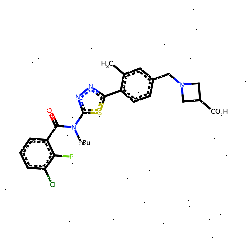 CCCCN(C(=O)c1cccc(Cl)c1F)c1nnc(-c2ccc(CN3CC(C(=O)O)C3)cc2C)s1